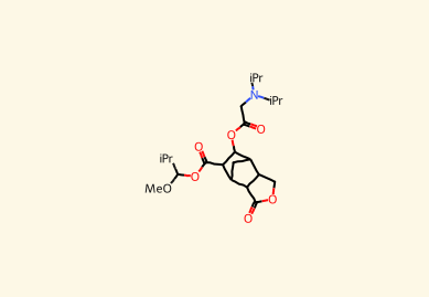 COC(OC(=O)C1C2CC(C3COC(=O)C32)C1OC(=O)CN(C(C)C)C(C)C)C(C)C